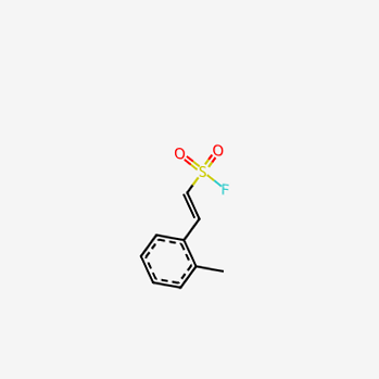 Cc1ccccc1C=CS(=O)(=O)F